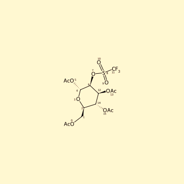 CC(=O)OC[C@H]1O[C@H](OC(C)=O)[C@@H](OS(=O)(=O)C(F)(F)F)[C@@H](OC(C)=O)[C@@H]1OC(C)=O